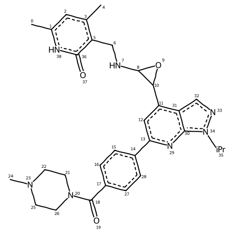 Cc1cc(C)c(CNC2OC2c2cc(-c3ccc(C(=O)N4CCN(C)CC4)cc3)nc3c2cnn3C(C)C)c(=O)[nH]1